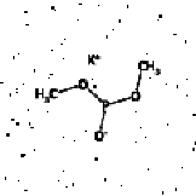 COP([O-])OC.[K+]